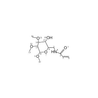 C=CC(=O)NCC1OC(OC)C(OC)C(OC)C1O